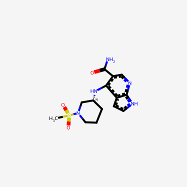 CS(=O)(=O)N1CCC[C@@H](Nc2c(C(N)=O)cnc3[nH]ccc23)C1